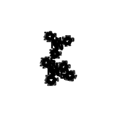 c1ccc(-c2nc(-c3ccccc3)nc(-c3ccc(Sc4ccccc4-c4nc(-c5ccccc5)nc(-c5cccc6c5sc5ccccc56)n4)cc3)n2)cc1